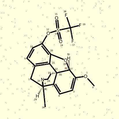 COC1=CC=C2[C@H]3Cc4ccc(OS(=O)(=O)C(F)(F)F)c5c4[C@@]2(CCN3C)[C@H]1O5